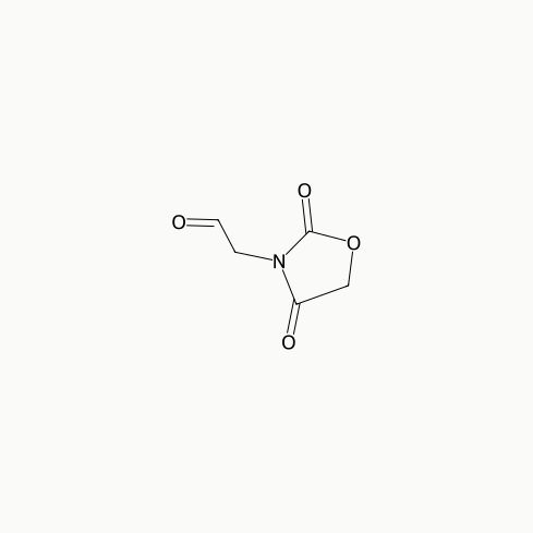 O=CCN1C(=O)COC1=O